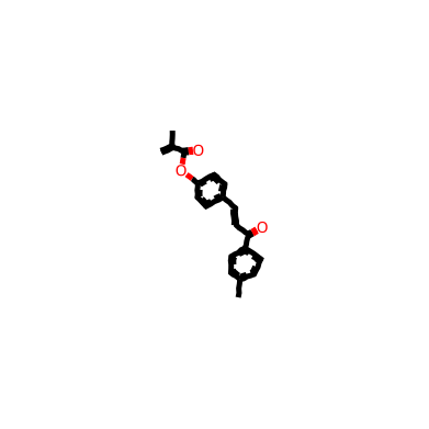 C=C(C)C(=O)Oc1ccc(C=CC(=O)c2ccc(C)cc2)cc1